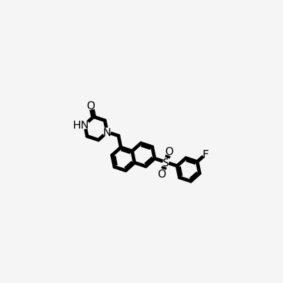 O=C1CN(Cc2cccc3cc(S(=O)(=O)c4cccc(F)c4)ccc23)CCN1